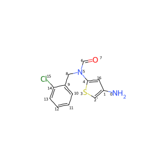 Nc1[c]sc(N(C=O)Cc2ccccc2Cl)c1